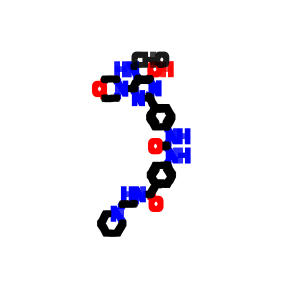 O=CNc1c(O)nc(-c2ccc(NC(=O)Nc3ccc(C(=O)NCCN4CCCCC4)cc3)cc2)nc1N1CCOCC1